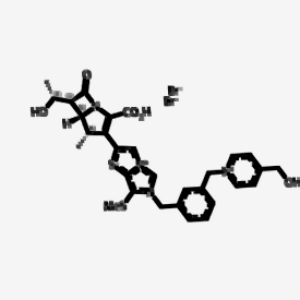 CSc1c2sc(C3=C(C(=O)O)N4C(=O)[C@H]([C@@H](C)O)[C@H]4[C@H]3C)c[n+]2cn1Cc1cccc(C[n+]2ccc(CO)cc2)c1.[Br-].[Br-]